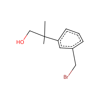 CC(C)(CO)c1cccc(CBr)c1